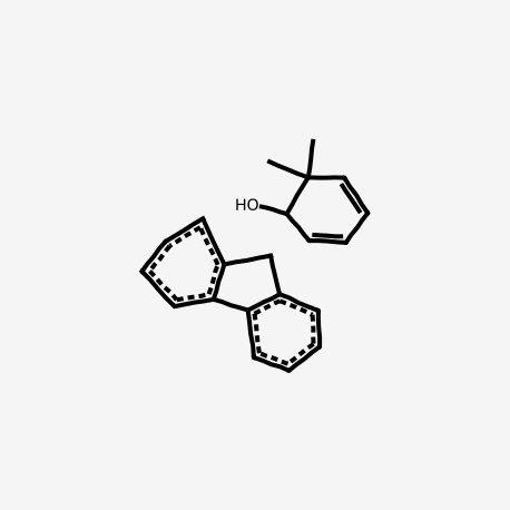 CC1(C)C=CC=CC1O.c1ccc2c(c1)Cc1ccccc1-2